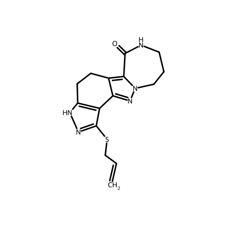 C=CCSc1n[nH]c2c1-c1nn3c(c1CC2)C(=O)NCCC3